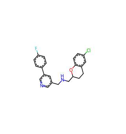 Fc1ccc(-c2cncc(CNCC3CCc4cc(Cl)ccc4O3)c2)cc1